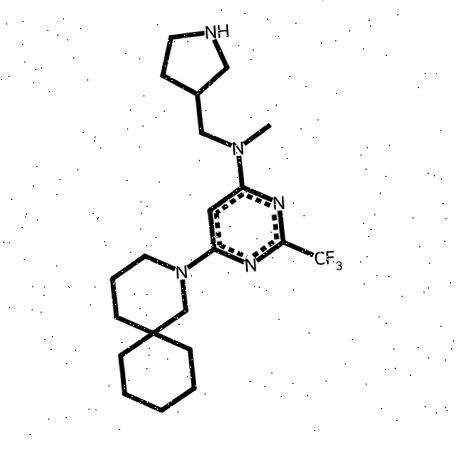 CN(CC1CCNC1)c1cc(N2CCCC3(CCCCC3)C2)nc(C(F)(F)F)n1